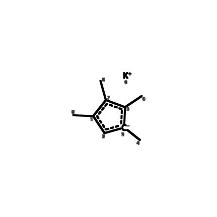 Cc1c[c-](C)c(C)c1C.[K+]